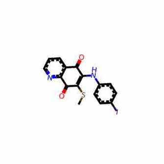 CSC1=C(Nc2ccc(I)cc2)C(=O)c2cccnc2C1=O